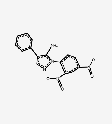 Nc1c(-c2ccccc2)cnn1-c1ccc([N+](=O)[O-])cc1[N+](=O)[O-]